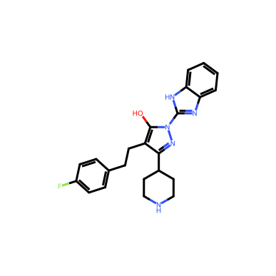 Oc1c(CCc2ccc(F)cc2)c(C2CCNCC2)nn1-c1nc2ccccc2[nH]1